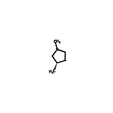 C[C@H]1[CH]CN(C)C1